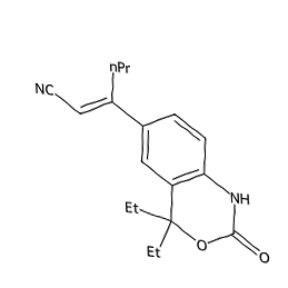 CCCC(=CC#N)c1ccc2c(c1)C(CC)(CC)OC(=O)N2